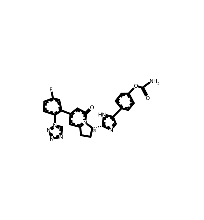 NC(=O)Oc1ccc(-c2cnc([C@@H]3CCc4cc(-c5cc(F)ccc5-n5cnnn5)cc(=O)n43)[nH]2)cc1